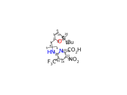 C=CC(CC(C)(C)Nc1nc(C(=O)O)c([N+](=O)[O-])cc1C(F)(F)F)O[Si](C)(C)C(C)(C)C